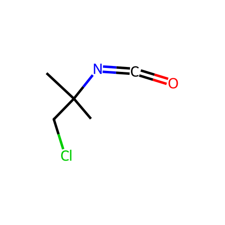 CC(C)(CCl)N=C=O